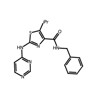 CC(C)c1sc(Nc2ccncn2)nc1C(=O)NCc1ccccc1